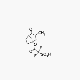 CC1CC2(OC(=O)C(F)(F)S(=O)(=O)O)CCC(C2)C1=O